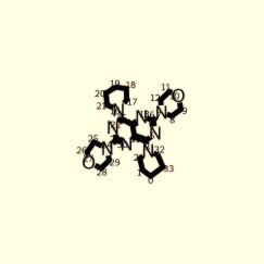 C1CCN(c2nc(N3CCOCC3)nc3c(N4CCCCC4)nc(N4CCOCC4)nc23)CC1